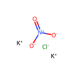 O=[N+]([O-])[O-].[Cl-].[K+].[K+]